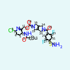 CC(C)(C)C(=O)Nc1ccc(Cl)nc1COC(=O)N1CC2=C(C1)CN(C(=O)c1cc(F)c(SN)cc1F)C2